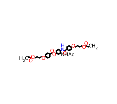 C=CC(=O)OCCCCOc1ccc(C(=O)Nc2ccc(OC(=O)c3ccc(OCCCCOC(=O)C=C)cc3)cc2NC(C)=O)cc1